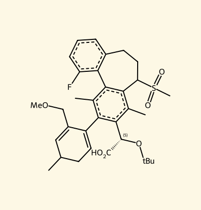 COCC1=CC(C)CC=C1c1c(C)c2c(c(C)c1[C@H](OC(C)(C)C)C(=O)O)C(S(C)(=O)=O)CCc1cccc(F)c1-2